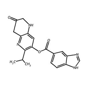 CC(C)c1nc2c(cc1OC(=O)c1ccc3[nH]cnc3c1)NCC(=O)C2